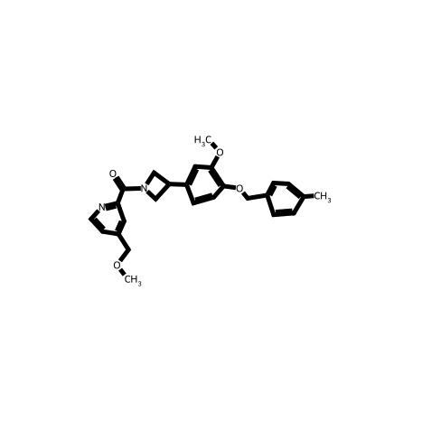 COCc1ccnc(C(=O)N2CC(c3ccc(OCc4ccc(C)cc4)c(OC)c3)C2)c1